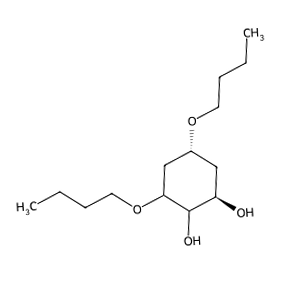 CCCCOC1C[C@H](OCCCC)C[C@@H](O)C1O